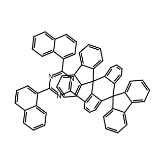 c1ccc2c(c1)-c1ccccc1C21c2ccccc2C2(c3ccccc3-c3ccccc32)c2c(-c3nc(-c4cccc5ccccc45)nc(-c4cccc5ccccc45)n3)cccc21